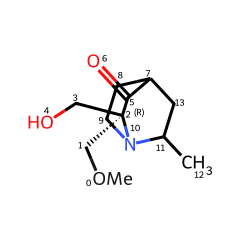 COC[C@]1(CO)C(=O)C2CCN1C(C)C2